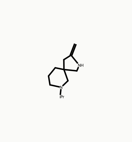 C=C1CC2(CCCN(C(C)C)C2)CN1